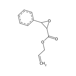 C=CCOC(=O)C1OC1c1ccccc1